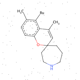 CC1=CC2(CCCNCC2)Oc2ccc(C)[c]([Ru])c21